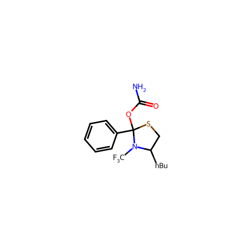 CCCCC1CSC(OC(N)=O)(c2ccccc2)N1C(F)(F)F